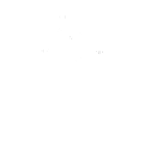 CCC(=NOC)[C@]12C=C(c3ccc(I)cc3)CC(CC1O)N2